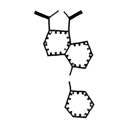 O=C1OC(=O)c2c1ccc1c(Oc3ccccc3)cccc21